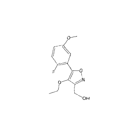 CCOc1c(CO)noc1-c1cc(OC)ccc1F